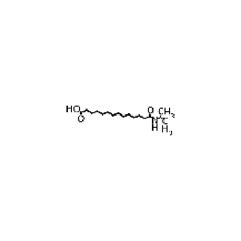 CC(C)NC(=O)CCCCCCCCCCCCC(=O)O